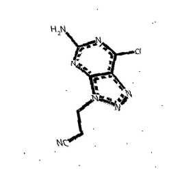 N#CCCn1nnc2c(Cl)nc(N)nc21